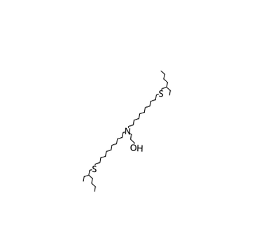 CCCCC(CC)CSCCCCCCCCCCCN(CCCO)CCCCCCCCCCCSCC(CC)CCCC